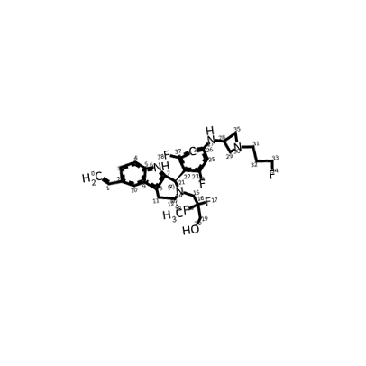 C=Cc1ccc2[nH]c3c(c2c1)C[C@@H](C)N(CC(F)(F)CO)[C@@H]3c1c(F)cc(NC2CN(CCCF)C2)cc1F